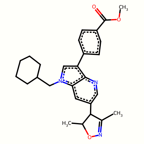 COC(=O)c1ccc(-c2cn(CC3CCCCC3)c3cc(C4C(C)=NOC4C)cnc23)cc1